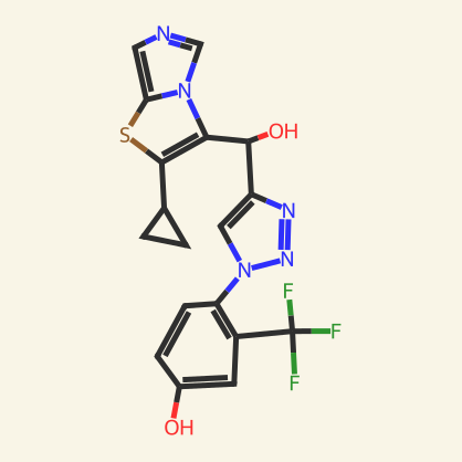 Oc1ccc(-n2cc(C(O)c3c(C4CC4)sc4cncn34)nn2)c(C(F)(F)F)c1